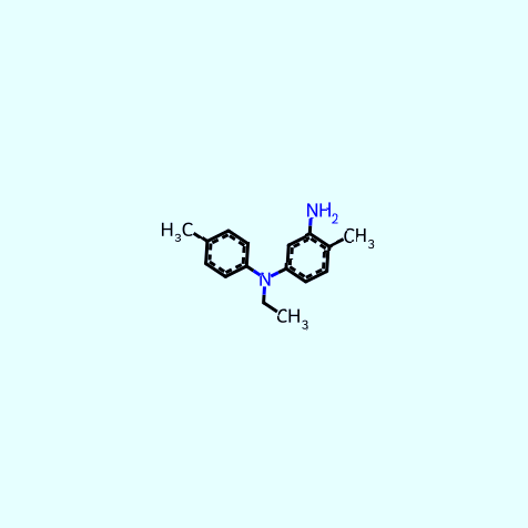 CCN(c1ccc(C)cc1)c1ccc(C)c(N)c1